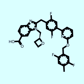 Cc1cc(F)c(COc2cccc(-c3cc(F)c(Cc4nc5ccc(C(=O)O)cc5n4C[C@@H]4CCO4)cc3F)n2)cc1F